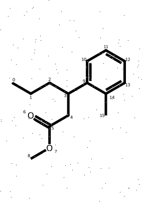 CCCC(CC(=O)OC)c1ccccc1C